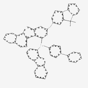 CC1(C)c2ccccc2-c2ccc(-c3cc(N(c4ccc(-c5ccccc5)cc4)c4cccc5c4sc4ccccc45)c4c(c3)oc3c5ccccc5ccc34)cc21